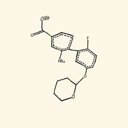 COC(=O)c1ccc(-c2cc(OC3CCCCO3)ccc2F)c(C(C)(C)C)c1